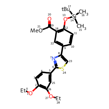 CCOc1ccc(-c2nc(-c3ccc(O[Si](C)(C)C(C)(C)C)c(C(=O)OC)c3)cs2)cc1OCC